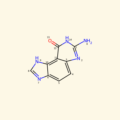 Nc1nc2ccc3nc[nH]c3c2c(=O)[nH]1